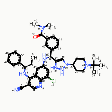 CC[C@@H](Nc1c(C#N)cnc2c(Cl)cc(N[C@H](C3=CN(C4CCN(C(C)(C)C)CC4)NN3)c3cccc(C(=O)N(C)C)c3)cc12)c1ccccc1